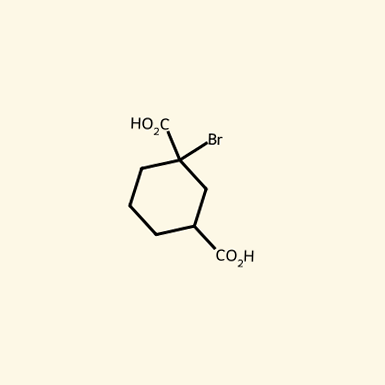 O=C(O)C1CCCC(Br)(C(=O)O)C1